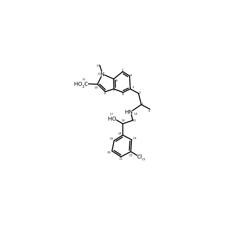 CC(Cc1ccc2c(c1)cc(C(=O)O)n2C)NCC(O)c1cccc(Cl)c1